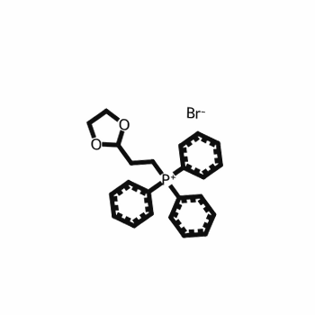 [Br-].c1ccc([P+](CCC2OCCO2)(c2ccccc2)c2ccccc2)cc1